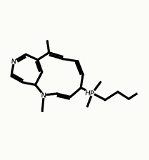 CCCC[PH](C)(C)C1C=C/C=C(\C)C2=CC(C=CN=C2)N(C)/C=C/1